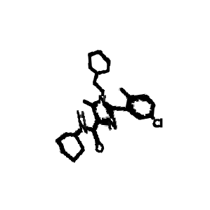 Cc1ccc(Cl)cc1-c1nc(C(=O)NC2CCCCC2)c(C)n1CCC1CCCCC1